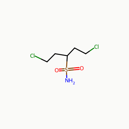 NS(=O)(=O)C(CCCl)CCCl